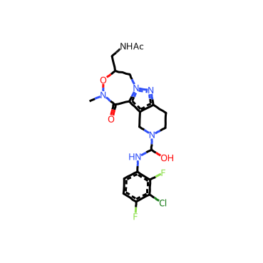 CC(=O)NCC1Cn2nc3c(c2C(=O)N(C)O1)CN(C(O)Nc1ccc(F)c(Cl)c1F)CC3